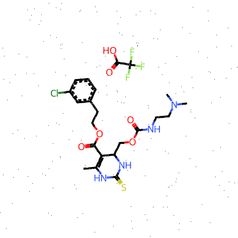 CC1=C(C(=O)OCCc2cccc(Cl)c2)C(COC(=O)NCCN(C)C)NC(=S)N1.O=C(O)C(F)(F)F